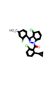 O=C(O)c1ccc(-c2nn(C(=O)c3c(Cl)cccc3C3CC3)c3cccc(Cl)c23)c(F)c1